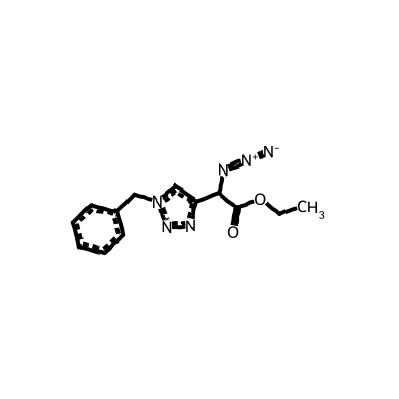 CCOC(=O)C(N=[N+]=[N-])c1cn(Cc2ccccc2)nn1